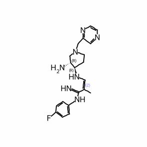 C/C(=C/N[C@@H]1CCN(Cc2cnccn2)C[C@H]1N)C(=N)Nc1ccc(F)cc1